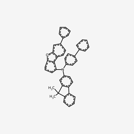 CC1(C)c2ccccc2-c2ccc(N(c3ccc(-c4ccccc4)cc3)c3cccc4oc5cc(-c6ccccc6)ccc5c34)cc21